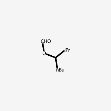 CCCCC(OC=O)C(C)C